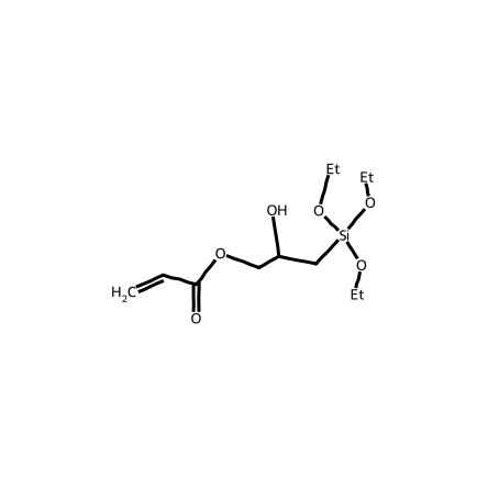 C=CC(=O)OCC(O)C[Si](OCC)(OCC)OCC